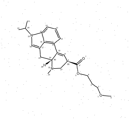 COCCCOC(=O)[C@@H]1C=C2c3cccc4c3c(cn4C(C)C)C[C@H]2N(C)C1